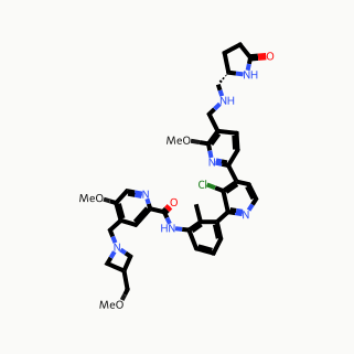 COCC1CN(Cc2cc(C(=O)Nc3cccc(-c4nccc(-c5ccc(CNC[C@@H]6CCC(=O)N6)c(OC)n5)c4Cl)c3C)ncc2OC)C1